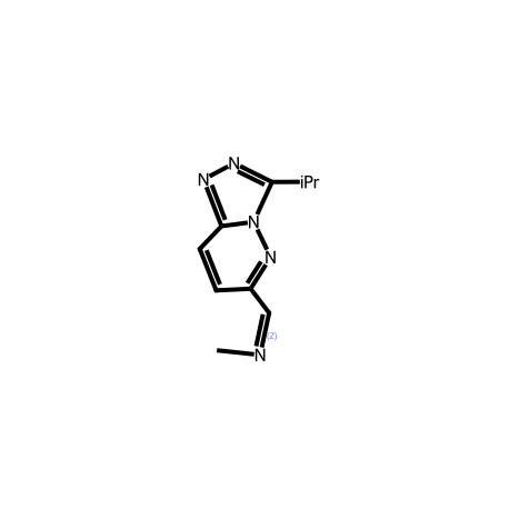 C/N=C\c1ccc2nnc(C(C)C)n2n1